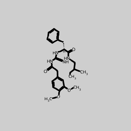 CCC(C)CNC(=O)[C@@H](Cc1ccccc1)NC(=N)NC(=O)Cc1ccc(OC)c(OC)c1